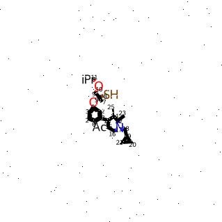 CC(=O)c1ccc(OC(C)(S)COC(C)C)cc1C1CCN(CC2CC2)C(C)[C@@H]1C